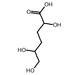 O=C(O)C(O)CCC(O)CO